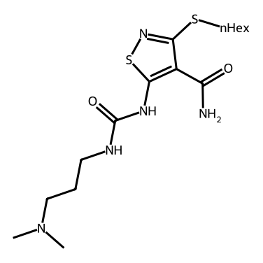 CCCCCCSc1nsc(NC(=O)NCCCN(C)C)c1C(N)=O